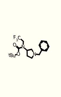 CC(C)(C)OC(=O)N(CC(F)(F)F)C1CCN(Cc2ccccc2)C1